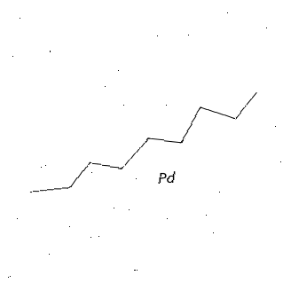 CCCCCCCCC.[Pd]